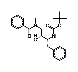 CN(C[C@@H](O)[C@@H](Cc1ccccc1)NC(=O)OC(C)(C)C)C(=O)c1ccccc1